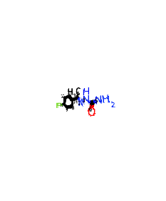 C/C(=N\NC(N)=O)c1ccc(F)cc1